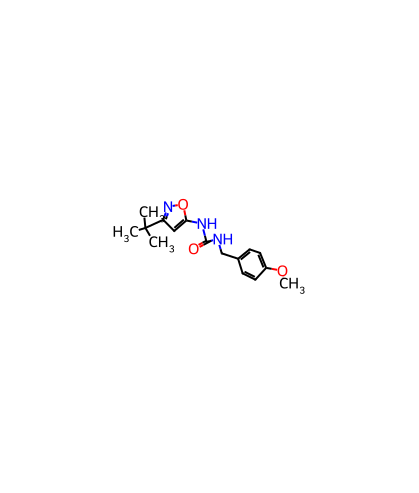 COc1ccc(CNC(=O)Nc2cc(C(C)(C)C)no2)cc1